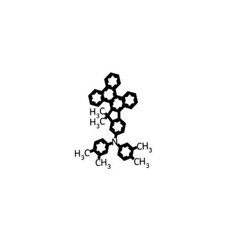 Cc1ccc(N(c2ccc(C)c(C)c2)c2ccc3c(c2)C(C)(C)c2c-3c3ccccc3c3c4ccccc4c4ccccc4c23)cc1C